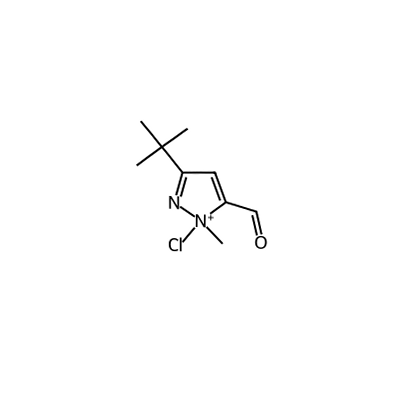 CC(C)(C)C1=N[N+](C)(Cl)C(C=O)=C1